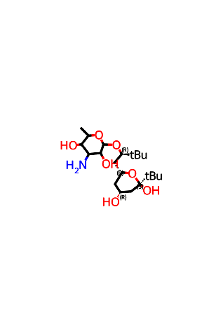 CC1OC(O[C@H](C[C@H]2C[C@@H](O)C[C@@](O)(C(C)(C)C)O2)C(C)(C)C)C(O)C(N)C1O